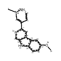 C=C/C(=C\N(C)N)c1cc2c(cn1)[nH]c1ccc(OC)cc12